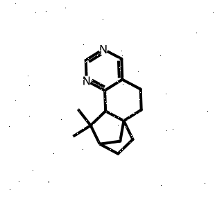 CC1(C)C2CCC3(CCc4cncnc4C31)C2